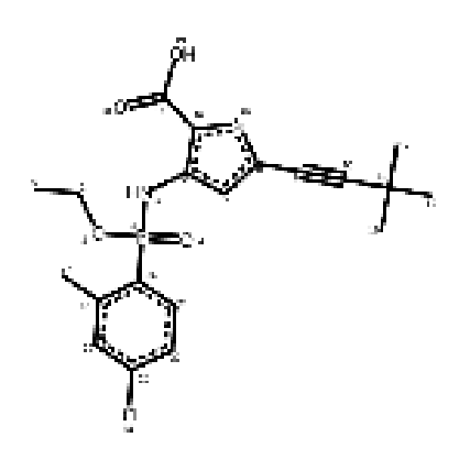 CCOP(=O)(Nc1cc(C#CC(C)(C)C)sc1C(=O)O)c1ccc(Cl)cc1C